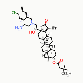 C=C/C=C(\C=C/CCl)CN(CCN)C[C@@H](O)[C@@]12CC[C@]3(C)[C@H](CC[C@@H]4[C@@]5(C)CC[C@H](OC(=O)CC(C)(C)C(=O)O)C(C)(C)[C@@H]5CC[C@]43C)C1=C(C(C)C)C(=O)C2